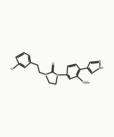 COc1cc(N2CCN(CCc3cccc(Cl)c3)C2=O)ccc1-c1cn[nH]c1